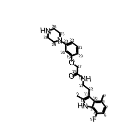 Cc1[nH]c2c(F)ccc(C)c2c1CCNC(=O)COc1cccc(N2CCNCC2)c1